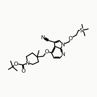 CC1(COc2ccnc3c2c(C#N)cn3COCC[Si](C)(C)C)CCN(C(=O)OC(C)(C)C)CC1